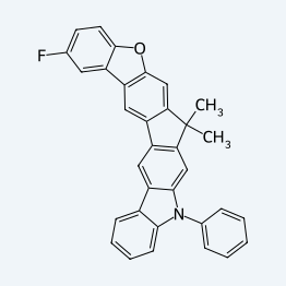 CC1(C)c2cc3oc4ccc(F)cc4c3cc2-c2cc3c4ccccc4n(-c4ccccc4)c3cc21